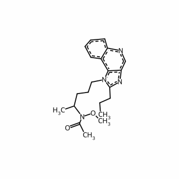 CCCc1nc2cnc3ccccc3c2n1CCCC(C)N(OC)C(C)=O